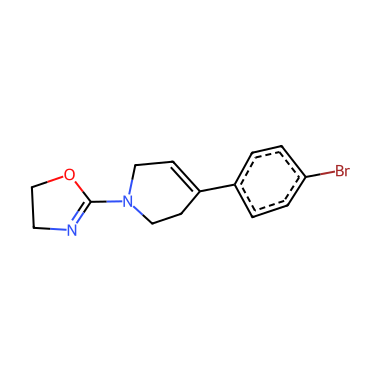 Brc1ccc(C2=CCN(C3=NCCO3)CC2)cc1